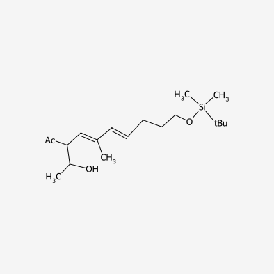 CC(=O)C(/C=C(C)/C=C/CCCO[Si](C)(C)C(C)(C)C)C(C)O